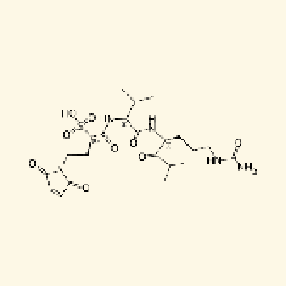 CC(C)C(=O)[C@H](CCCNC(N)=O)NC(=O)[C@@H](NC(=O)[C@@H](CCN1C(=O)C=CC1=O)S(=O)(=O)O)C(C)C